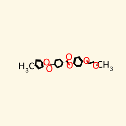 COCCOc1ccc(OC(=O)[C@H]2CC[C@H](C(=O)Oc3ccc(C)cc3)CC2)cc1